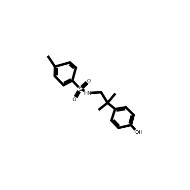 Cc1ccc(S(=O)(=O)NCC(C)(C)c2ccc(O)cc2)cc1